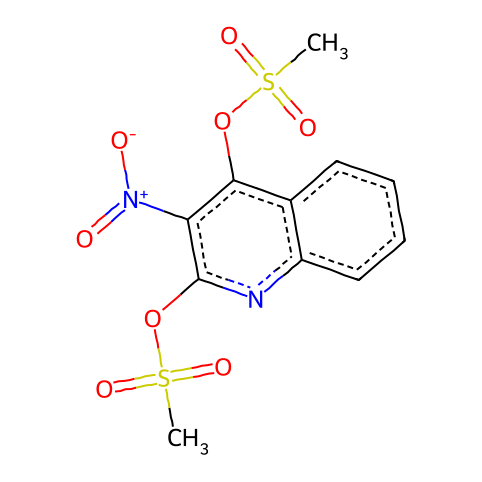 CS(=O)(=O)Oc1nc2ccccc2c(OS(C)(=O)=O)c1[N+](=O)[O-]